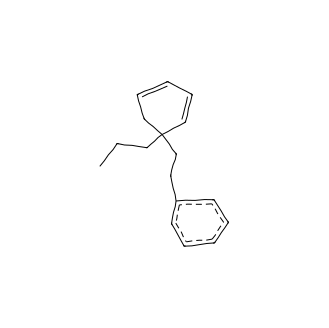 CCCC1(CCc2ccccc2)C=CC=CC1